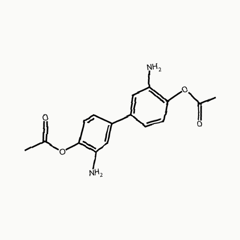 CC(=O)Oc1ccc(-c2ccc(OC(C)=O)c(N)c2)cc1N